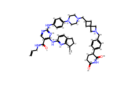 C=CCNC(=O)c1cnc(Nc2ccc(N3CCN(CC4CC5(C4)CN(Cc4ccc(C6CCC(=O)NC6=O)cc4)C5)CC3)cc2)nc1Nc1ccc2c(n1)C(CC)CC2